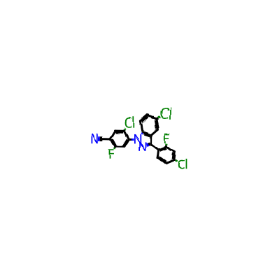 N#Cc1cc(Cl)c(-n2nc(-c3ccc(Cl)cc3F)c3cc(Cl)ccc32)cc1F